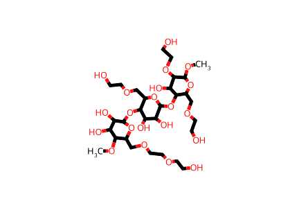 COC1OC(COCCO)C(OC2OC(COCCO)C(OC3OC(COCCOCCO)C(OC)C(O)C3O)C(O)C2O)C(O)C1OCCO